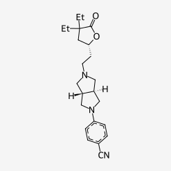 CCC1(CC)C[C@@H](CCN2C[C@H]3CN(c4ccc(C#N)cc4)C[C@@H]3C2)OC1=O